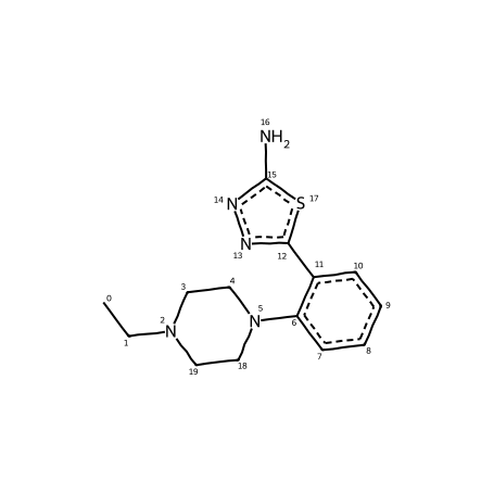 CCN1CCN(c2ccccc2-c2nnc(N)s2)CC1